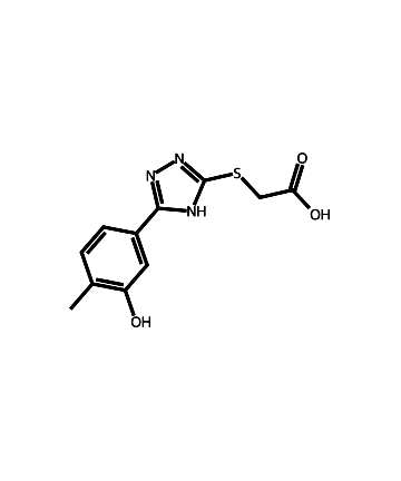 Cc1ccc(-c2nnc(SCC(=O)O)[nH]2)cc1O